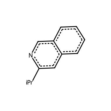 CC(C)c1cc2ccccc2cn1